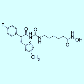 Cc1csc(C=C(C(=O)NC(=O)NCCCCCC(=O)NO)c2ccc(F)cc2)c1